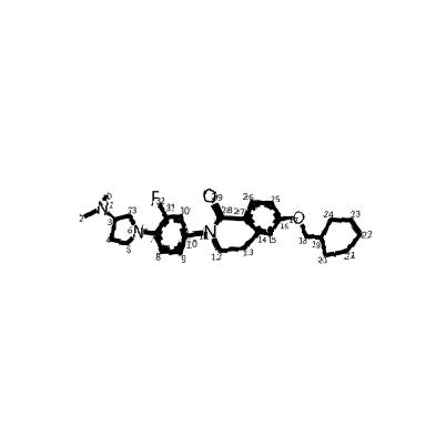 CN(C)[C@@H]1CCN(c2ccc(N3CCc4cc(OCC5CCCCC5)ccc4C3=O)cc2F)C1